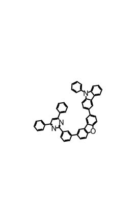 c1ccc(-c2cc(-c3ccccc3)nc(-c3cccc(-c4ccc5oc6ccc(-c7ccc8c(c7)c7ccccc7n8-c7ccccc7)cc6c5c4)c3)n2)cc1